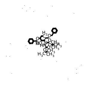 C=C[C@H](OC(=O)c1ccccc1)[C@H](O)[C@@H](CCOCc1ccccc1)N(NC(=O)OC(C)(C)C)C(=O)OC(C)(C)C